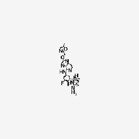 Cc1cnc(COc2cnc3c(Nc4cc(F)c(F)c([C@]5(C)N=C(N)S[C@@]6(C(F)F)C[C@@H]56)c4)nccc3n2)o1